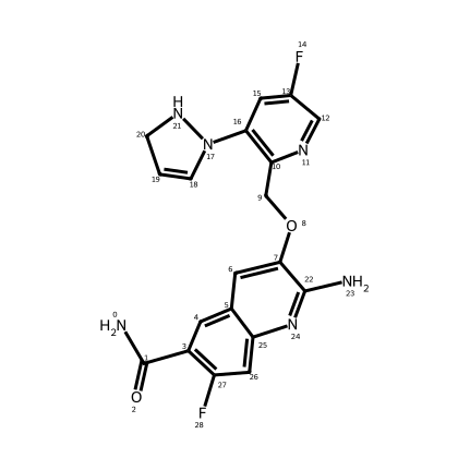 NC(=O)c1cc2cc(OCc3ncc(F)cc3N3C=CCN3)c(N)nc2cc1F